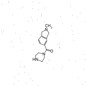 CN1Cc2ccc(C(=O)N3CCNCC3)cc2C1